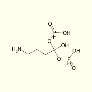 NCCCC(O)(O[PH](=O)O)O[PH](=O)O